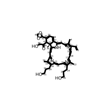 C=CC1=C(C)c2cc3[nH]c(cc4nc(cc5[nH]c(cc1n2)c(C)c5CCCO)C(CCCO)=C4C)[C@@]1(C)C3=CC=C(C2OCO2)C1C(=O)CO